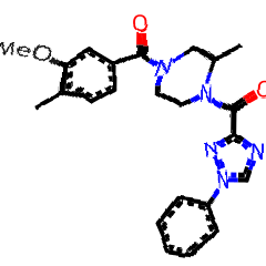 COc1cc(C(=O)N2CCN(C(=O)c3ncn(-c4ccccc4)n3)C(C)C2)ccc1C